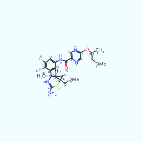 COC[C@H](C)Oc1cnc(C(=O)Nc2cc(F)c(F)c([C@]3(C)N=C(N)S[C@@]4(COC)C[C@H]43)c2)cn1